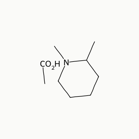 CC(=O)O.CC1CCCCN1C